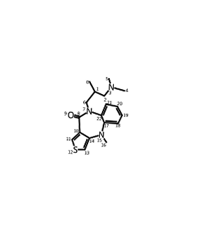 CC(CN(C)C)CN1C(=O)c2cscc2N(C)c2ccccc21